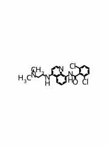 CN(C)CCNc1ccnc2c(NC(=O)c3c(Cl)cccc3Cl)cccc12